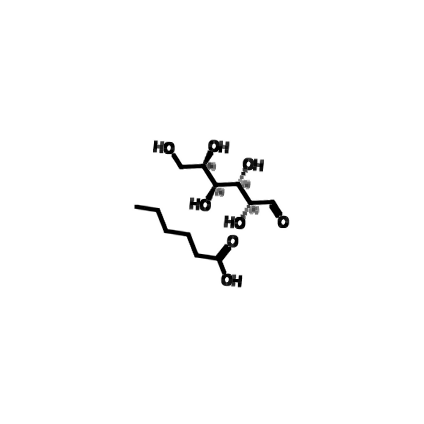 CCCCCC(=O)O.O=C[C@H](O)[C@@H](O)[C@@H](O)[C@H](O)CO